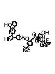 Cc1ncsc1-c1ccc(CNC(=O)[C@@H]2C[C@@H](O)CN2C(=O)[C@@H](NC(=O)C2(F)CC2)C(C)(C)C)c(OCCN2CCC(C3=CNCC3c3ccc(-c4ccccc4O)nn3)CC2)c1